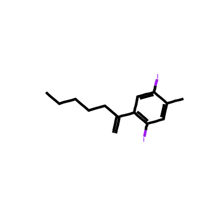 C=C(CCCCC)c1cc(I)c(C)cc1I